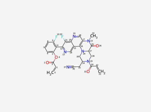 C=CC(=O)Oc1cccc(F)c1-c1ncc2c3c(cnc2c1F)N(C)C(=O)C1CN(C(=O)C=C)C(CC#N)CN31